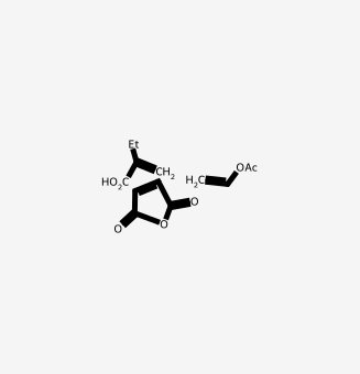 C=C(CC)C(=O)O.C=COC(C)=O.O=C1C=CC(=O)O1